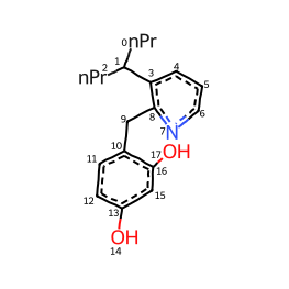 CCCC(CCC)c1cccnc1Cc1ccc(O)cc1O